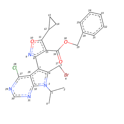 CC(C)n1c(CBr)c(-c2noc(C3CC3)c2C(=O)OCc2ccccc2)c2c(Cl)ncnc21